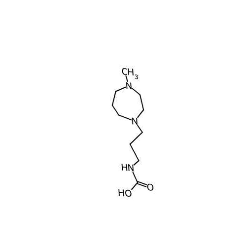 CN1CCCN(CCCNC(=O)O)CC1